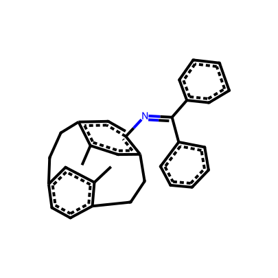 Cc1cc2c(N=C(c3ccccc3)c3ccccc3)cc1CCc1ccc(c(C)c1)CC2